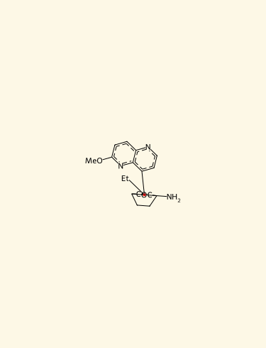 CCC1(c2ccnc3ccc(OC)nc23)OC2(N)CCC1CC2